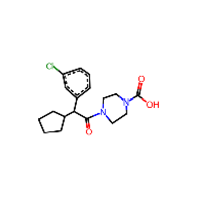 O=C(O)N1CCN(C(=O)C(c2cccc(Cl)c2)C2CCCC2)CC1